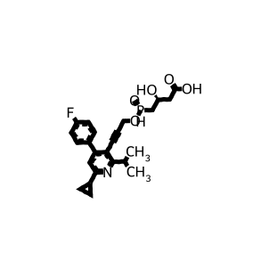 CC(C)c1nc(C2CC2)cc(-c2ccc(F)cc2)c1C#CCO[PH](=O)C[C@@H](O)CC(=O)O